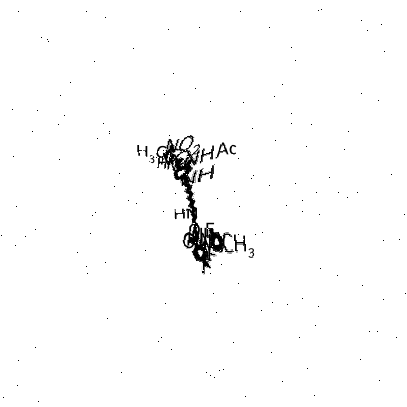 CC(=O)Nc1cc(NCCCCCCCCNCCCONC(=O)c2ccc(F)c(F)c2Nc2ccc(C)cc2F)ccc1C(=O)Nc1nc(C)c([N+](=O)[O-])s1